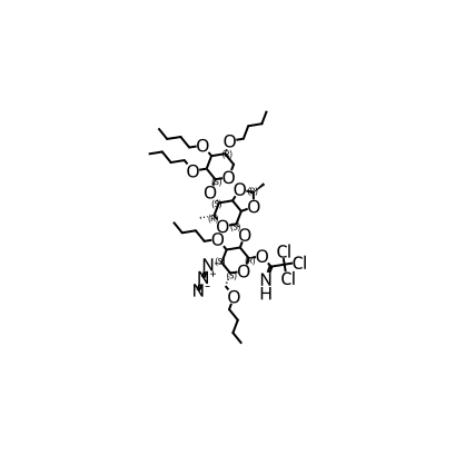 CCCCOC[C@H]1O[C@H](OC(=N)C(Cl)(Cl)Cl)C(O[C@@H]2O[C@H](C)[C@H](O[C@@H]3OC[C@@H](OCCCC)C(OCCCC)C3OCCCC)C3O[C@@H](C)OC32)C(OCCCC)[C@H]1N=[N+]=[N-]